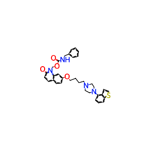 O=C(NCc1ccccc1)OCn1c(=O)ccc2ccc(OCCCCN3CCN(c4cccc5sccc45)CC3)cc21